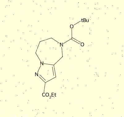 CCOC(=O)c1cc2n(n1)CCCN(C(=O)OC(C)(C)C)C2